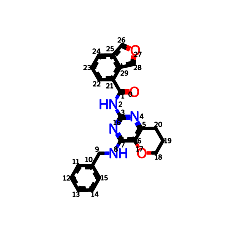 O=C(Nc1nc2c(c(NCc3ccccc3)n1)OCCC2)c1cccc2cocc12